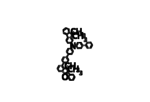 CC1(C)c2ccccc2-c2ccc(N(c3ccc(-c4ccccc4)cc3)c3ccc(-c4ccc(-c5cccc6c5C(C)(C)c5c-6oc6ccccc56)cc4)cc3)cc21